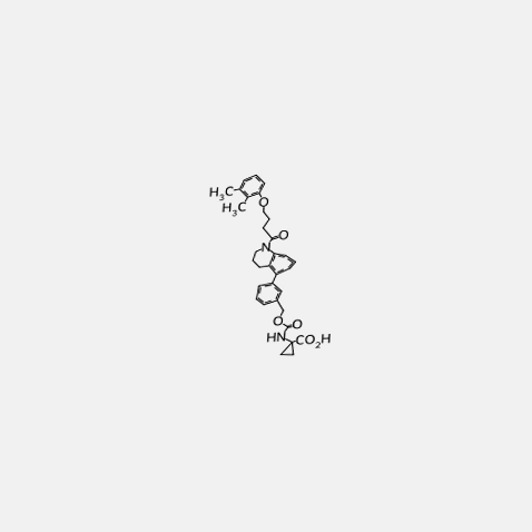 Cc1cccc(OCCCC(=O)N2CCCc3c(-c4cccc(COC(=O)NC5(C(=O)O)CC5)c4)cccc32)c1C